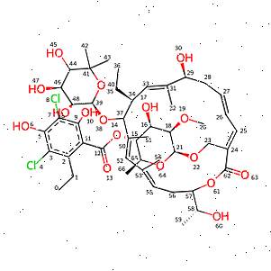 CCc1c(Cl)c(O)c(Cl)c(O)c1C(=O)O[C@@H]1[C@@H](O)[C@@H](OC)[C@@H](OC/C2=C\C=C\C[C@H](O)/C(C)=C/[C@H](CC)C(O[C@@H]3OC(C)(C)C(O)[C@H](O)[C@@H]3O)/C(C)=C/C(C)=C/CC([C@@H](C)O)OC2=O)O[C@H]1C